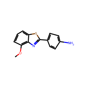 COc1cccc2sc(-c3ccc(N)cc3)nc12